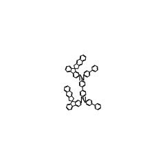 c1ccc(-c2ccc(N(c3ccc(-c4ccc(N(c5ccc(-c6ccccc6)cc5)c5ccc6c(c5)C5(Cc7cc8ccccc8cc7C5)c5ccccc5-6)cc4)cc3)c3ccc4c(c3)C3(Cc5cc6ccccc6cc5C3)c3ccccc3-4)cc2)cc1